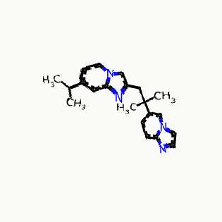 CC(C)c1ccn2cc(CC(C)(C)c3ccc4nccn4c3)nc2c1